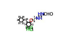 Cl.Cl.O=CNCCNCCOc1ccccc1Cc1ccccc1